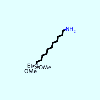 CC[Si](CCCCCCCCCCCN)(OC)OC